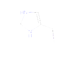 ICC1=CNCN1